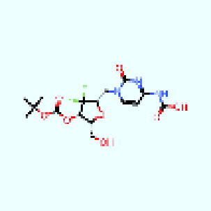 CC(C)(C)OC(=O)O[C@@H]1[C@@H](CO)O[C@@H](Cn2ccc(NC(=O)O)nc2=O)C1(F)F